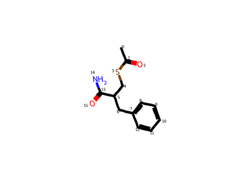 CC(=O)SCC(Cc1ccccc1)C(N)=O